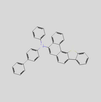 c1ccc(-c2ccc(N(c3ccccc3)c3cc4ccc5c6ccccc6sc5c4c4ccccc34)cc2)cc1